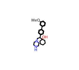 COc1cccc(-c2ccc(C(CN3CCNCC3)C3(O)CCCCC3)cc2)c1